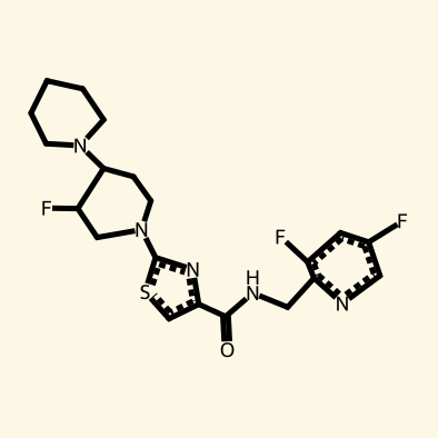 O=C(NCc1ncc(F)cc1F)c1csc(N2CCC(N3CCCCC3)C(F)C2)n1